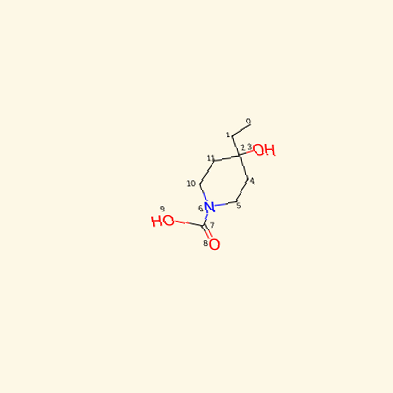 CCC1(O)CCN(C(=O)O)CC1